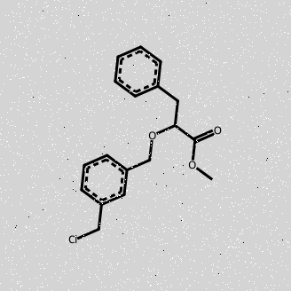 COC(=O)C(Cc1ccccc1)OCc1cccc(CCl)c1